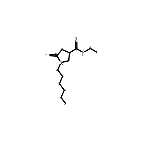 CCCCCCN1CC(C(=O)NCC)CC1=O